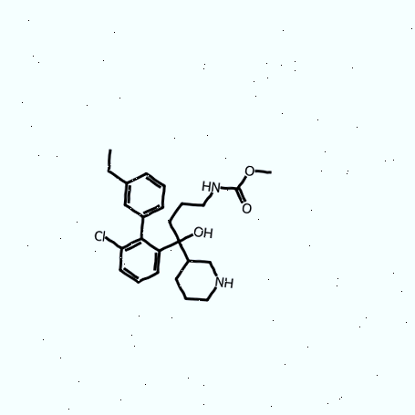 CCc1cccc(-c2c(Cl)cccc2C(O)(CCCNC(=O)OC)C2CCCNC2)c1